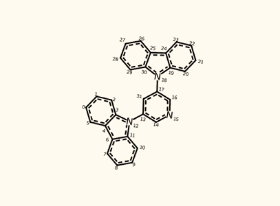 c1ccc2c(c1)c1ccccc1n2-c1cncc(-n2c3ccccc3c3ccccc32)c1